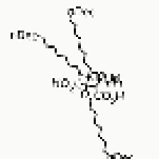 CCCCCCCCCCCCCCCCCCOC(C(=O)O)(C(C(=O)O)C(=O)CCC)C(CCCCCCCCCCCCCCCCCC)(CCCCCCCCCCCCCCCCCC)C(=O)O